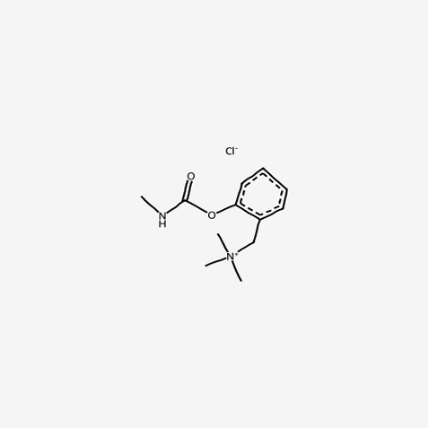 CNC(=O)Oc1ccccc1C[N+](C)(C)C.[Cl-]